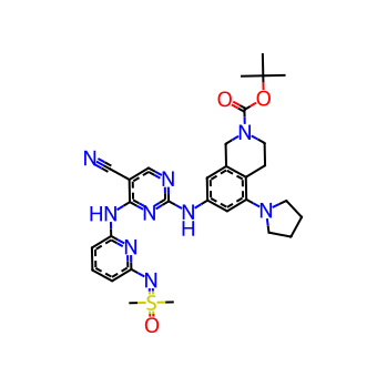 CC(C)(C)OC(=O)N1CCc2c(cc(Nc3ncc(C#N)c(Nc4cccc(N=S(C)(C)=O)n4)n3)cc2N2CCCC2)C1